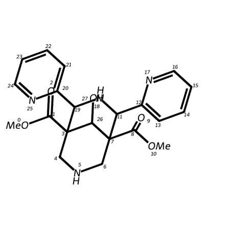 COC(=O)C12CNCC(C(=O)OC)(C(c3ccccn3)NC1c1ccccn1)C2O